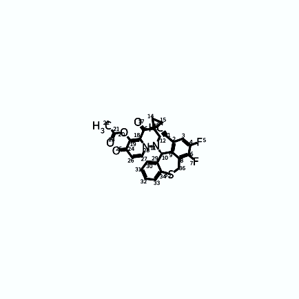 C#Cc1cc(F)c(F)c2c1[C@H](N1CC3(CC3)C(=O)c3c(OC(C)=O)c(=O)ccn31)c1ccccc1SC2